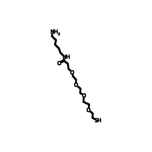 NCCCCCNC(=O)CCOCCOCCOCCOCCS